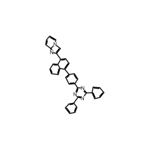 c1ccc(-c2nc(-c3ccccc3)nc(-c3ccc(-c4ccc(-c5cn6ccccc6n5)c5ccccc45)cc3)n2)cc1